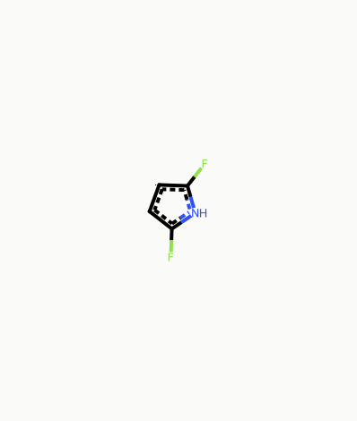 Fc1[c]cc(F)[nH]1